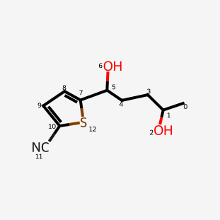 CC(O)CCC(O)c1ccc(C#N)s1